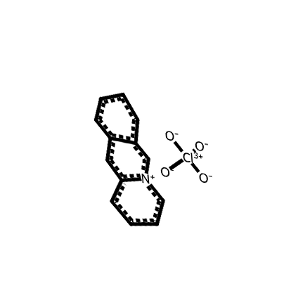 [O-][Cl+3]([O-])([O-])[O-].c1ccc2c[n+]3ccccc3cc2c1